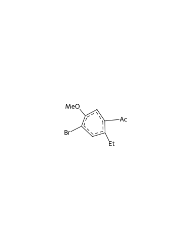 CCc1cc(Br)c(OC)cc1C(C)=O